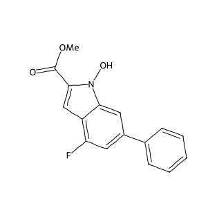 COC(=O)c1cc2c(F)cc(-c3ccccc3)cc2n1O